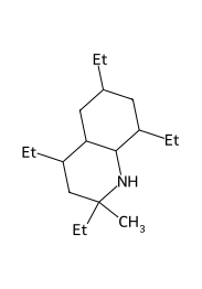 CCC1CC(CC)C2NC(C)(CC)CC(CC)C2C1